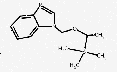 CC(OCn1cnc2ccccc21)[Si](C)(C)C